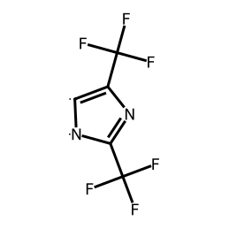 FC(F)(F)C1=[C][N]C(C(F)(F)F)=N1